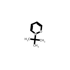 CC(C)(C)N1C=CC=CO1